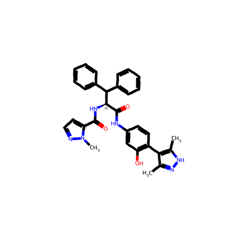 Cc1n[nH]c(C)c1-c1ccc(NC(=O)[C@@H](NC(=O)c2ccnn2C)C(c2ccccc2)c2ccccc2)cc1O